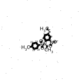 CCN(c1ccc(SC)cc1[N+](=O)[O-])S(=O)(=O)c1ccc(C)cc1